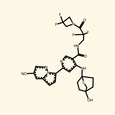 N#Cc1cnn2c(-c3cc(NC45CCC(O)(CC4)CC5)c(C(=O)NCC(F)(F)C(=O)N4CC(F)(F)C4)cn3)ccc2c1